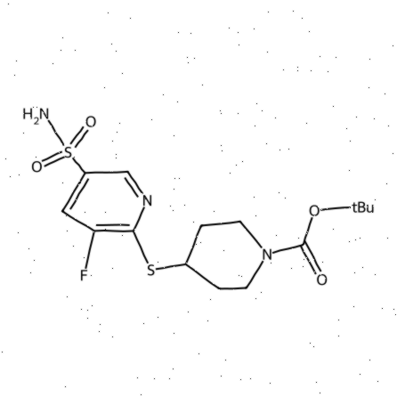 CC(C)(C)OC(=O)N1CCC(Sc2ncc(S(N)(=O)=O)cc2F)CC1